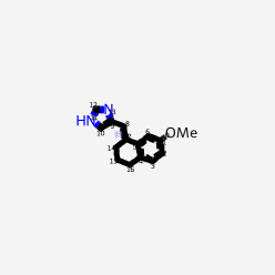 COc1ccc2c(c1)/C(=C/c1c[nH]cn1)CCC2